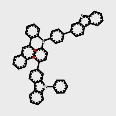 c1ccc(-n2c3ccccc3c3ccc(-c4ccc(N(c5ccc(-c6ccc7c(c6)sc6ccccc67)cc5)c5ccccc5-c5ccc6ccccc6c5)cc4)cc32)cc1